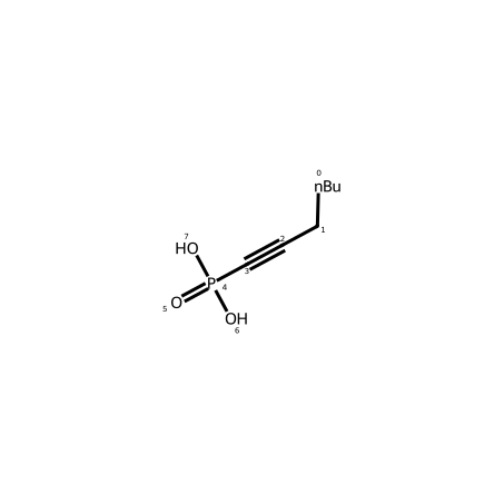 CCCCCC#CP(=O)(O)O